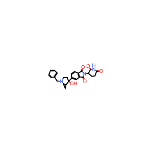 O=C1CCC(N2C(=O)c3ccc(C4(O)CCN(Cc5ccccc5)C5CC54)cc3C2=O)C(=O)N1